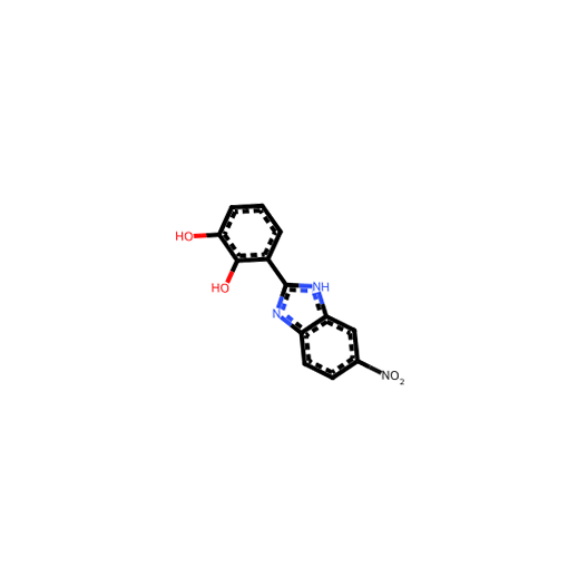 O=[N+]([O-])c1ccc2nc(-c3cccc(O)c3O)[nH]c2c1